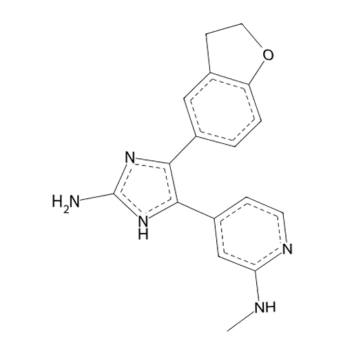 CNc1cc(-c2[nH]c(N)nc2-c2ccc3c(c2)CCO3)ccn1